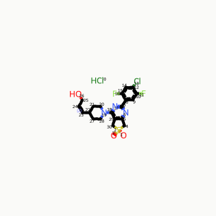 Cl.O=S1(=O)Cc2nc(-c3cc(F)c(Cl)cc3F)nc(N3CCC(/C=C\CO)CC3)c2C1